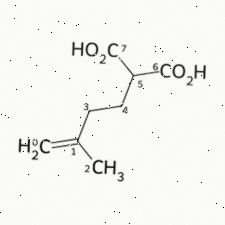 C=C(C)CCC(C(=O)O)C(=O)O